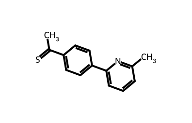 CC(=S)c1ccc(-c2cccc(C)n2)cc1